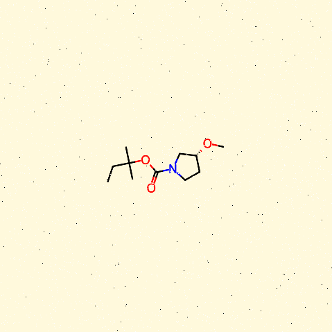 CCC(C)(C)OC(=O)N1CC[C@@H](OC)C1